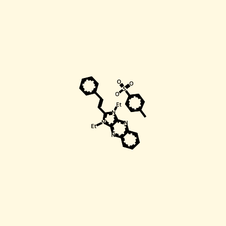 CCn1c(C=Cc2ccccc2)[n+](CC)c2nc3ccccc3nc21.Cc1ccc(S(=O)(=O)[O-])cc1